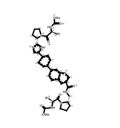 COC(=O)N[C@H](C(=O)N1CCC[C@H]1CNC(=O)c1cnc2cc(-c3ccc(-c4cnc([C@@H]5CCCN5C(=O)[C@@H](NC(=O)OC)C(C)C)[nH]4)cc3)ccc2c1)C(C)C